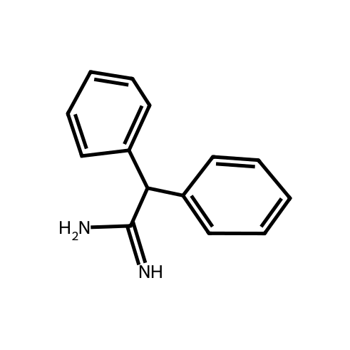 N=C(N)C(c1ccccc1)c1ccccc1